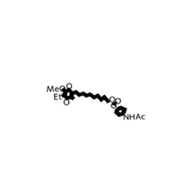 CCC1=C(OC)C(=O)C(CCCCCCCCCCOC(=O)Oc2ccc(NC(C)=O)cc2)=C(C)C1=O